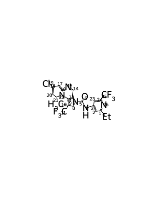 CCc1cc(NC(=O)N2C[C@@](C)(C(F)(F)F)C3=C2C=NC2=CC(Cl)=CCN23)cc(C(F)(F)F)n1